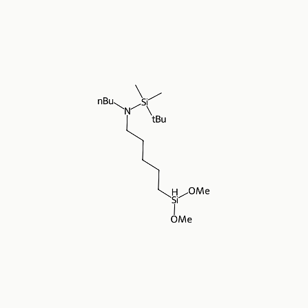 CCCCN(CCCCC[SiH](OC)OC)[Si](C)(C)C(C)(C)C